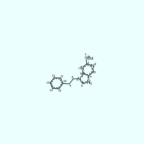 CCCCc1n[c]c2ncn(CCc3ccccc3)c2n1